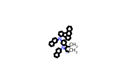 C=Cc1c(/C=C\C)n(-c2ccc3ccccc3c2)c2cc(N(c3ccc4ccccc4c3)c3cccc4c3-c3cccc5cc6ccccc6c-4c35)ccc12